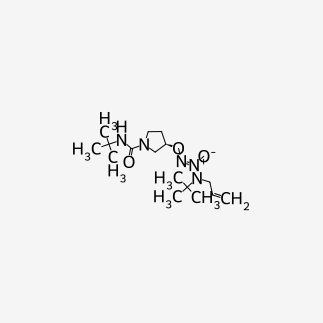 C=CCN(/[N+]([O-])=N/O[C@@H]1CCN(C(=O)NC(C)(C)C)C1)C(C)(C)C